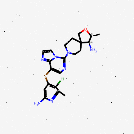 Cc1nc(N)cc(Sc2cnc(N3CCC4(CC3)CO[C@@H](C)[C@H]4N)n3ccnc23)c1Cl